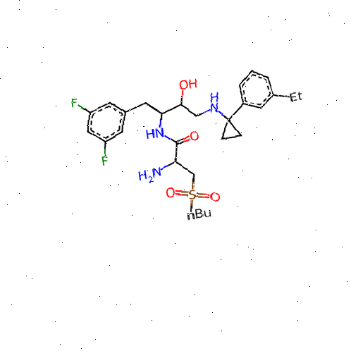 CCCCS(=O)(=O)CC(N)C(=O)NC(Cc1cc(F)cc(F)c1)C(O)CNC1(c2cccc(CC)c2)CC1